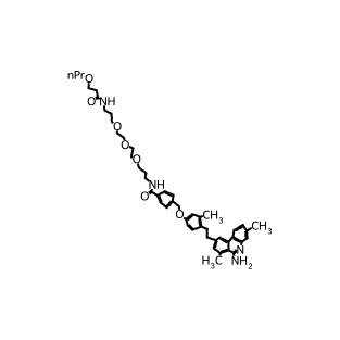 CCCOCCC(=O)NCCCOCCOCCOCCCNC(=O)c1ccc(COc2ccc(CCc3cc(C)c4c(N)nc5cc(C)ccc5c4c3)c(C)c2)cc1